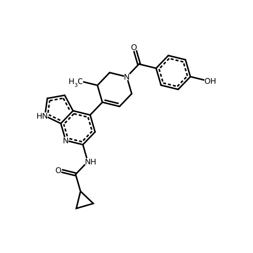 CC1CN(C(=O)c2ccc(O)cc2)CC=C1c1cc(NC(=O)C2CC2)nc2[nH]ccc12